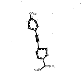 CCCCCCCCC(C)[n+]1ccc(C#Cc2ccc(OC)cc2)cc1